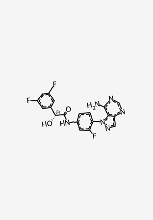 Nc1ncnc2cnn(-c3ccc(NC(=O)[C@H](O)c4cc(F)cc(F)c4)cc3F)c12